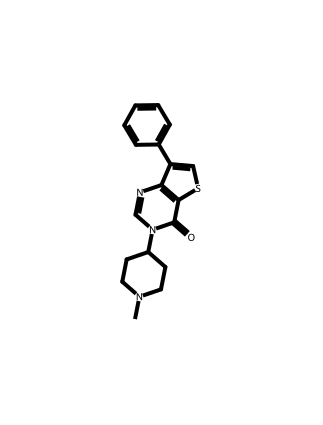 CN1CCC(n2cnc3c(-c4ccccc4)csc3c2=O)CC1